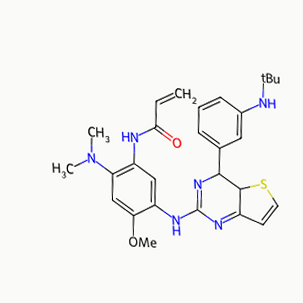 C=CC(=O)Nc1cc(NC2=NC(c3cccc(NC(C)(C)C)c3)C3SC=CC3=N2)c(OC)cc1N(C)C